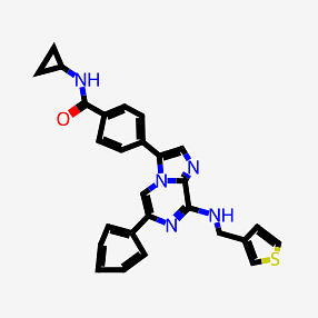 O=C(NC1CC1)c1ccc(-c2cnc3c(NCc4ccsc4)nc(-c4ccccc4)cn23)cc1